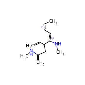 C=CC(CC(=C)NC)/C(=C\C=C/C)NC